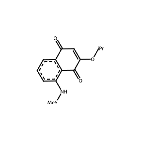 CSNc1cccc2c1C(=O)C(OC(C)C)=CC2=O